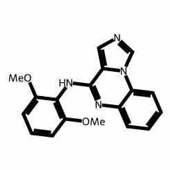 COc1cccc(OC)c1Nc1nc2ccccc2n2cncc12